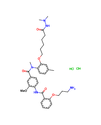 COc1cc(C(=O)N(C)c2ccc(C)cc2OCCCCCC(=O)NN(C)C)ccc1NC(=O)c1ccccc1OCCCN.Cl.Cl